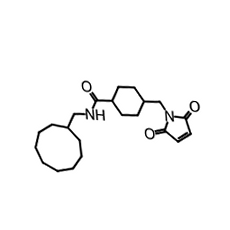 O=C(NCC1CCCCCCCC1)C1CCC(CN2C(=O)C=CC2=O)CC1